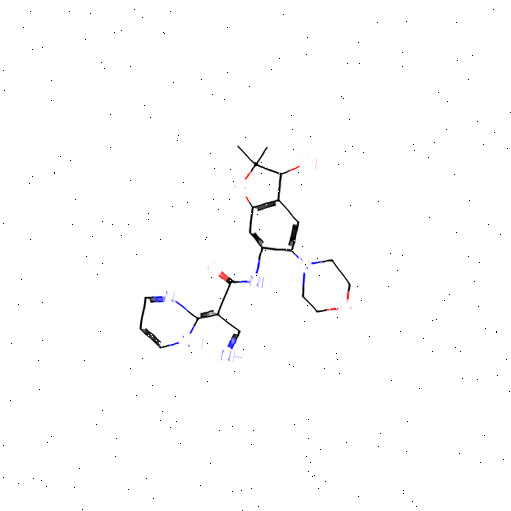 CC1(C)Oc2cc(NC(=O)/C(C=N)=C3\N=CC=CN3)c(N3CCOCC3)cc2C1O